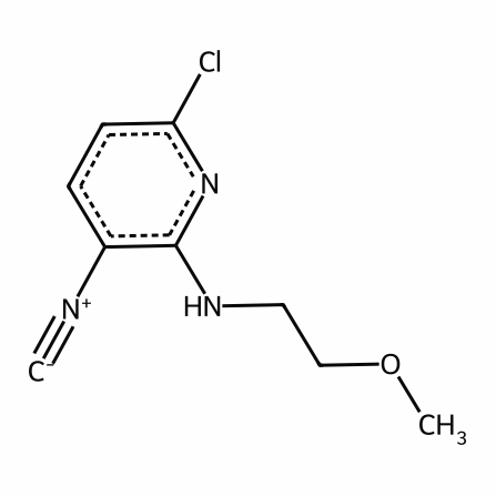 [C-]#[N+]c1ccc(Cl)nc1NCCOC